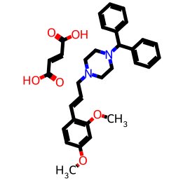 COc1ccc(/C=C/CN2CCN(C(c3ccccc3)c3ccccc3)CC2)c(OC)c1.O=C(O)/C=C/C(=O)O